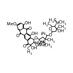 COc1cc(O)c2c(c1)C(=O)c1cc3c(c(O)c1C2=O)C(OC(O)CC(C)(C(OC1CC(C)(O)C(N(C)C)C(C)O1)C(C)C)N(C)C)C(OC)C(C)(O)C3=O